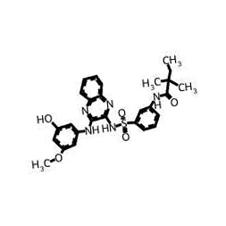 CCC(C)(C)C(=O)Nc1cccc(S(=O)(=O)Nc2nc3ccccc3nc2Nc2cc(O)cc(OC)c2)c1